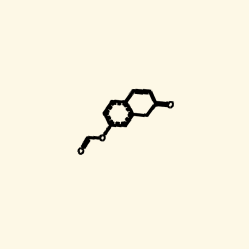 O=COc1ccc2c(c1)CC(=O)C=C2